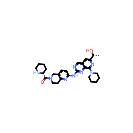 C[C@@H](O)c1cc2cnc(Nc3ccc4c(n3)CCN(C(=O)[C@H]3CCCCN3)C4)nc2c(N2CCCCC2)n1